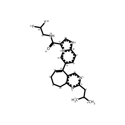 CC(C)Cc1ncc2c(n1)CCCC=C2c1ccc2ncc(C(=O)NCC(F)F)n2c1